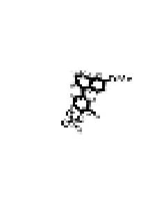 COc1ccc2c(-c3ccc(OS(C)(=O)=O)c(C)c3)ccnc2c1